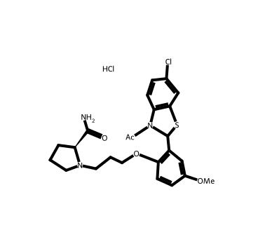 COc1ccc(OCCCN2CCC[C@H]2C(N)=O)c(C2Sc3cc(Cl)ccc3N2C(C)=O)c1.Cl